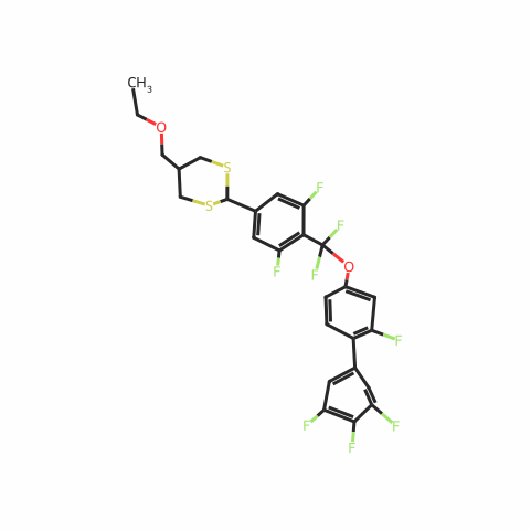 CCOCC1CSC(c2cc(F)c(C(F)(F)Oc3ccc(-c4cc(F)c(F)c(F)c4)c(F)c3)c(F)c2)SC1